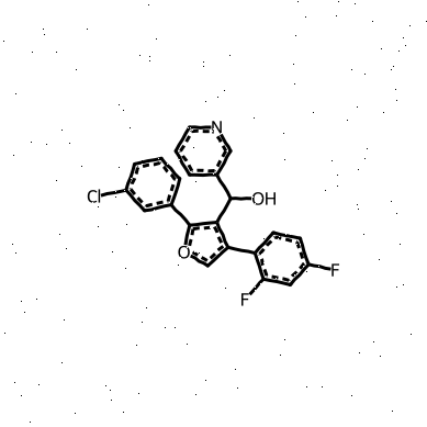 OC(c1cccnc1)c1c(-c2ccc(F)cc2F)coc1-c1cccc(Cl)c1